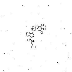 O=C(NCCO)c1ccc(C2=NOC(c3cc(Cl)c(Cl)c(C(F)(F)F)c3)(C(F)(F)F)C2)c2ccccc12